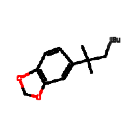 CC(C)(C)CC(C)(C)c1ccc2c(c1)OCO2